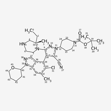 CC[C@@]1(C)CNCCN1c1nn(C2CCN(C(=O)OC(C)(C)C)CC2)c(C#N)c1-c1c(Cl)c(C)cc2c1cnn2C1CCCCO1